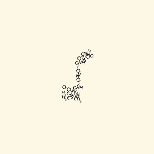 Cc1sc2c(c1C)C(c1ccc(Cl)cc1)=N[C@@H](CC(=O)NCCc1ccc(/N=N/c3ccc(CCC(=O)Nc4cccc5c4C(=O)N(C4CCC(=O)NC4=O)C5=O)cc3)cc1)c1nnc(C)n1-2